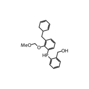 COCOc1c(CC2C=CC=CC2)cccc1Pc1ccccc1CO